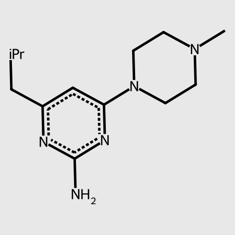 CC(C)Cc1cc(N2CCN(C)CC2)nc(N)n1